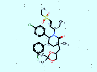 CC[C@@H](/C=C/S(=O)(=O)CC)N1C(=O)[C@@](C)(CC2COC(C)(C)O2)C[C@H](c2cccc(Cl)c2)C1c1ccc(Cl)cc1